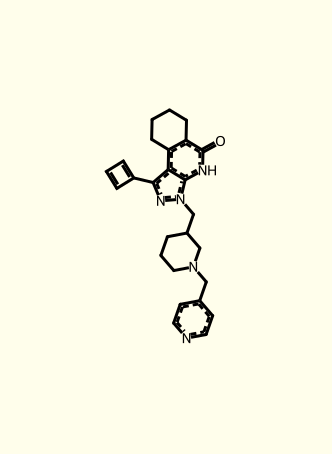 O=c1[nH]c2c(c(C3=CC=C3)nn2CC2CCCN(Cc3ccncc3)C2)c2c1CCCC2